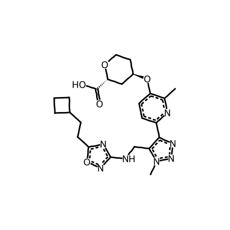 Cc1nc(-c2nnn(C)c2CNc2noc(CCC3CCC3)n2)ccc1O[C@@H]1CCO[C@@H](C(=O)O)C1